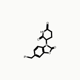 CC(C)Cc1ccc2c(c1)oc(=O)n2C1CCC(=O)NC1=O